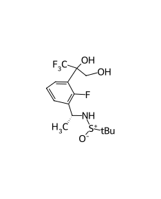 C[C@@H](N[S+]([O-])C(C)(C)C)c1cccc(C(O)(CO)C(F)(F)F)c1F